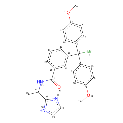 COc1ccc(C(Br)(c2ccc(OC)cc2)c2cccc(C(=O)NC(C)c3ncc[nH]3)c2)cc1